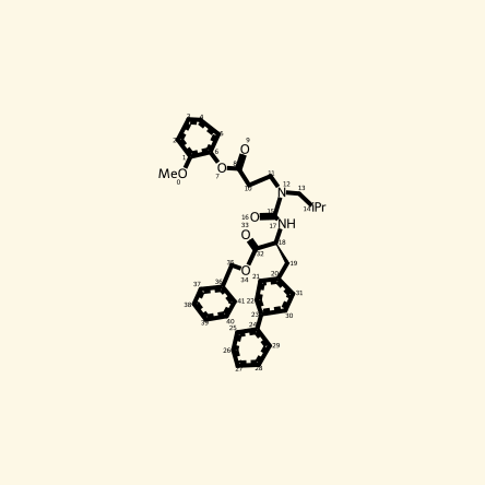 COc1ccccc1OC(=O)CCN(CC(C)C)C(=O)N[C@@H](Cc1ccc(-c2ccccc2)cc1)C(=O)OCc1ccccc1